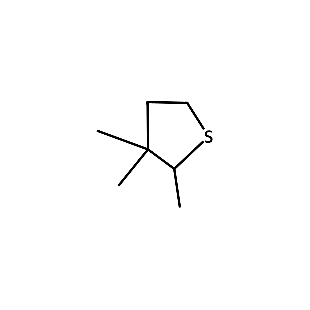 CC1SCCC1(C)C